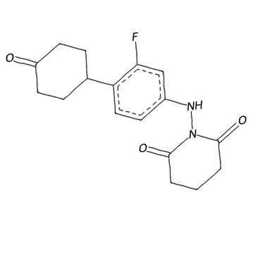 O=C1CCC(c2ccc(NN3C(=O)CCCC3=O)cc2F)CC1